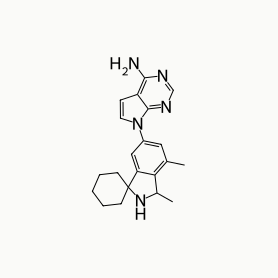 Cc1cc(-n2ccc3c(N)ncnc32)cc2c1C(C)NC21CCCCC1